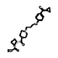 O=C(c1ccc(OCCCN2CCN(C(=O)[C@H]3CCN3C(=O)O)CC2)cc1)C1CC1